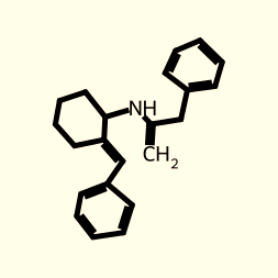 C=C(Cc1ccccc1)NC1CCCCC1=Cc1ccccc1